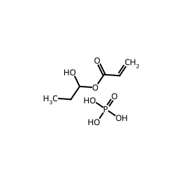 C=CC(=O)OC(O)CC.O=P(O)(O)O